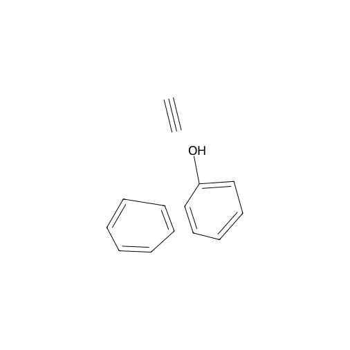 C#C.Oc1ccccc1.c1ccccc1